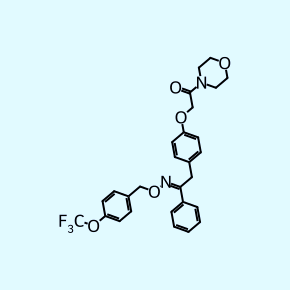 O=C(COc1ccc(CC(=NOCc2ccc(OC(F)(F)F)cc2)c2ccccc2)cc1)N1CCOCC1